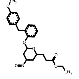 CCOC(=O)CCC1CC(N=O)CC(Oc2ccccc2Cc2ccc(OC)cc2)O1